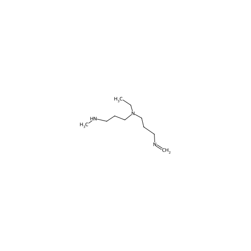 C=NCCCN(CC)CCCNC